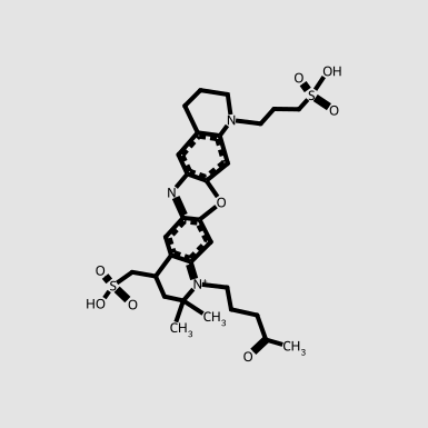 CC(=O)CCC[N+]1=c2cc3c(cc2C(CS(=O)(=O)O)CC1(C)C)=Nc1cc2c(cc1O3)N(CCCS(=O)(=O)O)CCC2